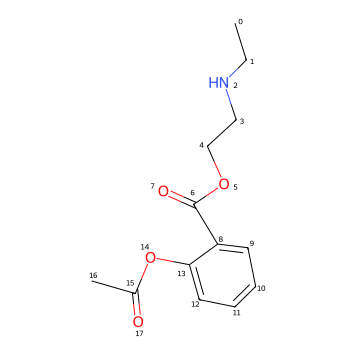 CCNCCOC(=O)c1ccccc1OC(C)=O